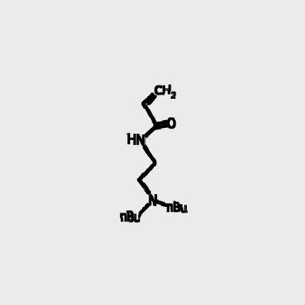 C=CC(=O)NCCN(CCCC)CCCC